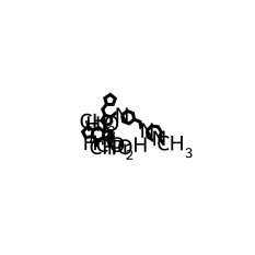 CC(C)C1=CC2CC3(C=O)[C@@H]4CC[C@@H](C)[C@H]4CC2(C2CC(CC4CCCC4)C(CN4CCC(CCN5CCCN(C)CC5)CC4)O2)[C@]13C(=O)O